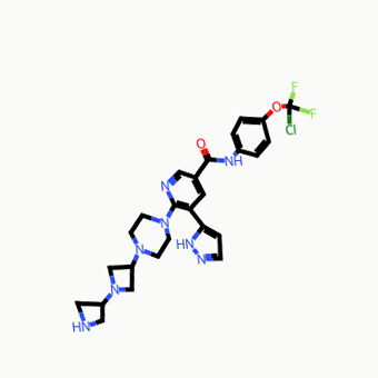 O=C(Nc1ccc(OC(F)(F)Cl)cc1)c1cnc(N2CCN(C3CN(C4CNC4)C3)CC2)c(-c2ccn[nH]2)c1